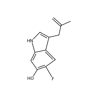 C=C(C)Cc1c[nH]c2cc(O)c(F)cc12